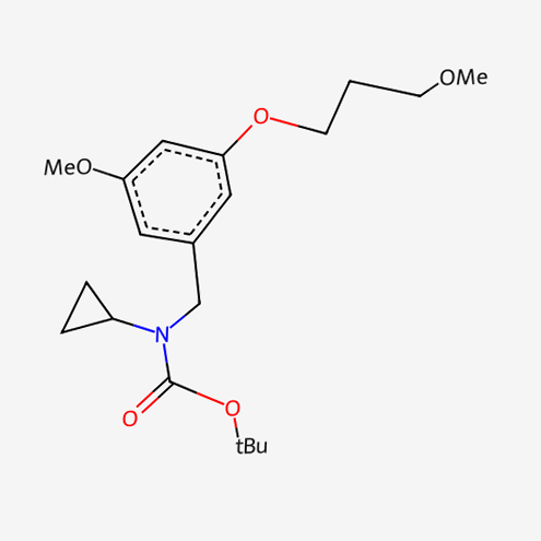 COCCCOc1cc(CN(C(=O)OC(C)(C)C)C2CC2)cc(OC)c1